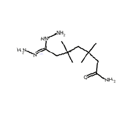 CC(C)(CC(N)=O)CC(C)(C)C/C(=N/N)NN